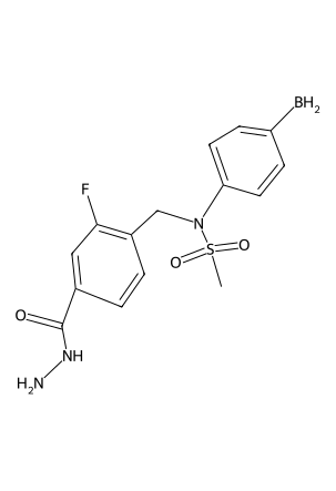 Bc1ccc(N(Cc2ccc(C(=O)NN)cc2F)S(C)(=O)=O)cc1